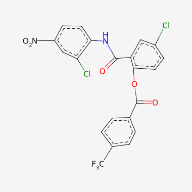 O=C(Oc1ccc(Cl)cc1C(=O)Nc1ccc([N+](=O)[O-])cc1Cl)c1ccc(C(F)(F)F)cc1